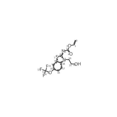 C=COC(=O)N=c1sc2cc(OC(F)(F)F)ccc2n1CCO